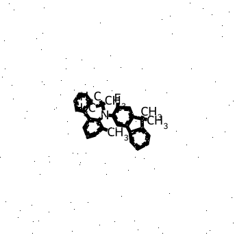 Cc1cccc(-c2ccccc2)c1N(c1cc2c(cc1F)C(C)(C)c1ccccc1-2)C(C)(C)C